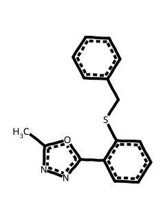 Cc1nnc(-c2ccccc2SCc2ccccc2)o1